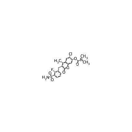 Cc1c(Cc2cccc(S(N)(=O)=O)c2F)c(=O)oc2cc(OC(=O)N(C)C)c(Cl)cc12